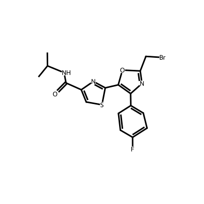 CC(C)NC(=O)c1csc(-c2oc(CBr)nc2-c2ccc(F)cc2)n1